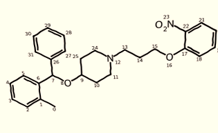 Cc1ccccc1C(OC1CCN(CCCOc2ccccc2[N+](=O)[O-])CC1)c1ccccc1